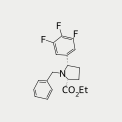 CCOC(=O)[C@H]1CC[C@@H](c2cc(F)c(F)c(F)c2)N1Cc1ccccc1